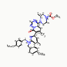 COc1ccc(CN(Cc2ccc(OC)cc2)c2cc(C)cc(-c3c(C(F)(F)F)cc4c(N5CCN(C(=O)OC(C)(C)C)C[C@@H]5C)ncnn4c3=O)n2)cc1